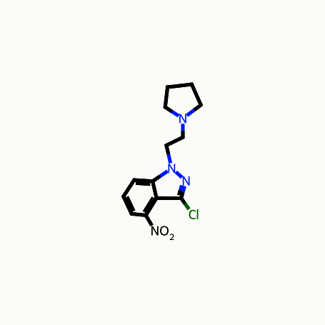 O=[N+]([O-])c1cccc2c1c(Cl)nn2CCN1CCCC1